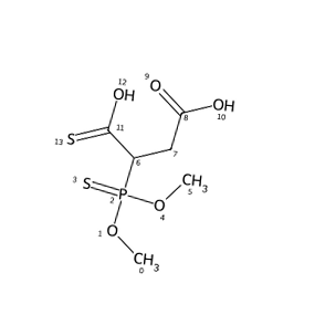 COP(=S)(OC)C(CC(=O)O)C(O)=S